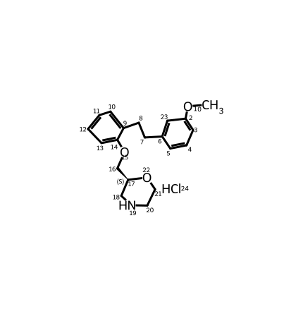 COc1cccc(CCc2ccccc2OC[C@@H]2CNCCO2)c1.Cl